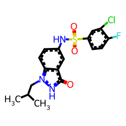 CC(C)Cn1[nH]c(=O)c2cc(NS(=O)(=O)c3ccc(F)c(Cl)c3)ccc21